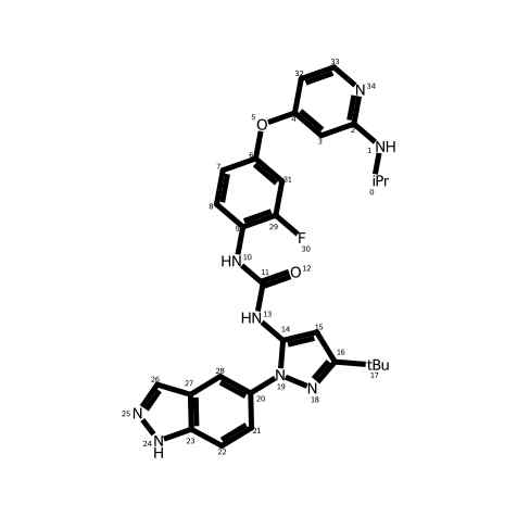 CC(C)Nc1cc(Oc2ccc(NC(=O)Nc3cc(C(C)(C)C)nn3-c3ccc4[nH]ncc4c3)c(F)c2)ccn1